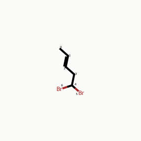 CC=CCC(Br)Br